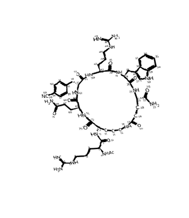 CC(=O)N[C@@H](CCCNC(=N)N)C(=O)N[C@H]1CCCNC(=O)CC[C@@H](C(N)=O)NC(=O)[C@H](Cc2c[nH]c3ccccc23)NC(=O)[C@H](CCCNC(=N)N)NC(=O)[C@@H](Cc2ccc(C#N)cc2)NC(=O)[C@H](CCC(N)=O)NC1=O